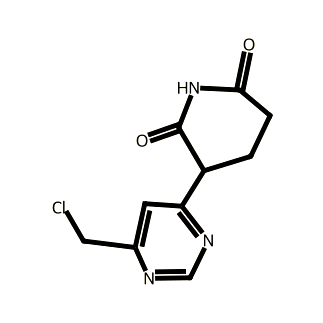 O=C1CCC(c2cc(CCl)ncn2)C(=O)N1